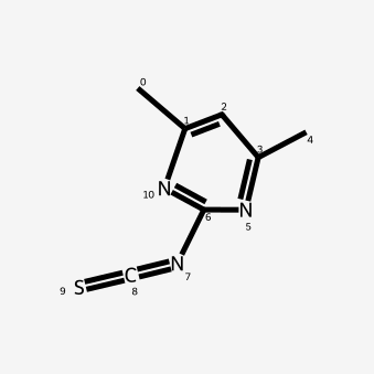 Cc1cc(C)nc(N=C=S)n1